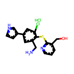 Cl.NCc1cc(-c2cc[nH]c2)cc(Cl)c1Sc1ncccc1CO